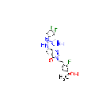 CC(O)c1ccc(CCn2cnc3cc(N/C(=N/C4CCC(F)(F)CC4)N4CCNCC4)ccc3c2=O)c(F)c1